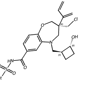 C=CC(=C)[C@]1(CCl)COc2ccc(C(=O)NS(=O)(=O)CC)cc2N(C[C@@H]2CC[C@H]2O)C1